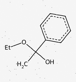 [CH2]C(O)(OCC)c1ccccc1